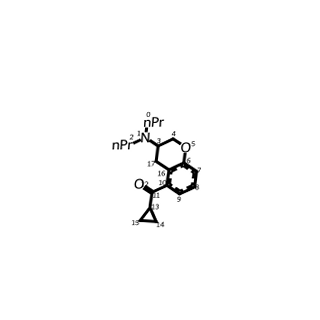 CCCN(CCC)C1COc2cccc(C(=O)C3CC3)c2C1